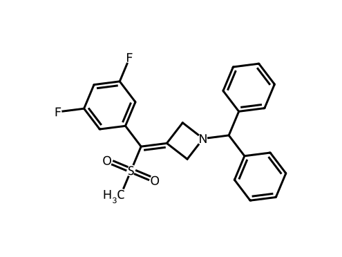 CS(=O)(=O)C(=C1CN(C(c2ccccc2)c2ccccc2)C1)c1cc(F)cc(F)c1